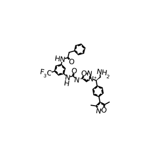 Cc1noc(C)c1-c1ccc([C@H](CN)[n+]2cc([N-]C(=O)Nc3cc(NC(=O)Cc4ccccc4)cc(C(F)(F)F)c3)on2)cc1